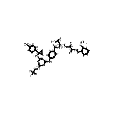 COc1ccccc1CNC(=O)C(=O)NC[C@H](NC(=O)c1ccc(Nc2nc(NC3(c4ccc(Cl)cc4)CC3)nc(OCC(F)(F)F)n2)cc1)C(=O)O